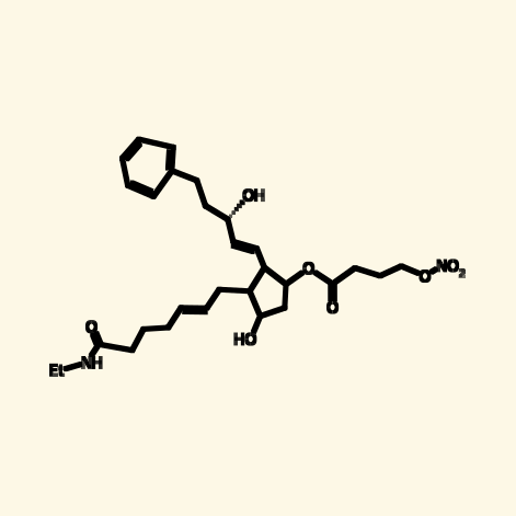 CCNC(=O)CCCC=CCC1C(O)CC(OC(=O)CCCO[N+](=O)[O-])C1C=C[C@@H](O)CCc1ccccc1